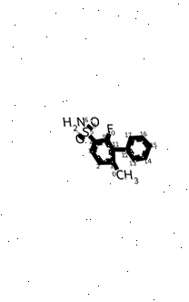 Cc1ccc(S(N)(=O)=O)c(F)c1-c1ccccc1